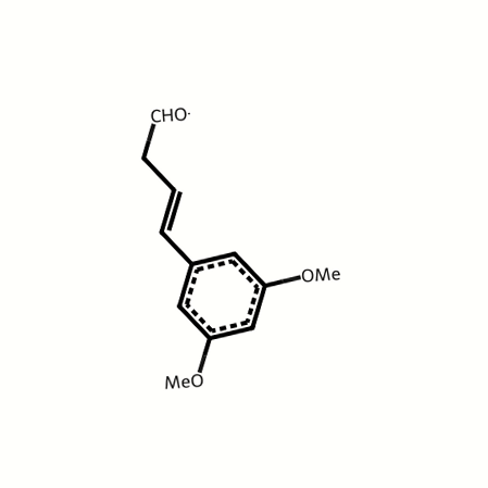 COc1cc(/C=C/C[C]=O)cc(OC)c1